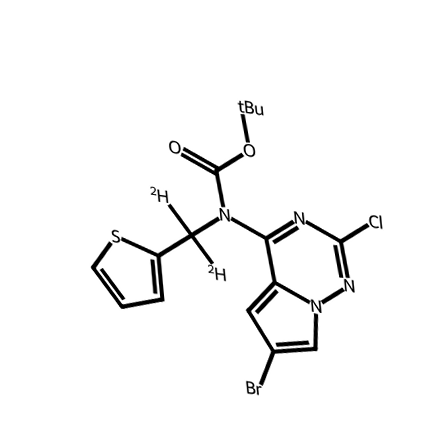 [2H]C([2H])(c1cccs1)N(C(=O)OC(C)(C)C)c1nc(Cl)nn2cc(Br)cc12